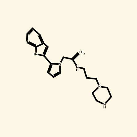 C=C(Cn1cccc1-c1cc2cccnc2[nH]1)NCCCN1CCNCC1